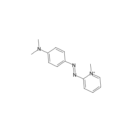 CN(C)c1ccc(N=Nc2cccc[n+]2C)cc1